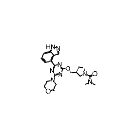 CN(C)C(=O)N1CCC(COc2nc(-c3cccc4[nH]ncc34)nc(N3CCOCC3)n2)C1